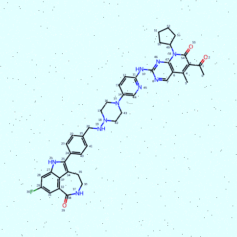 CC(=O)c1c(C)c2cnc(Nc3ccc(N4CCN(NCc5ccc(-c6[nH]c7cc(F)cc8c7c6CCNC8=O)cc5)CC4)cn3)nc2n(C2CCCC2)c1=O